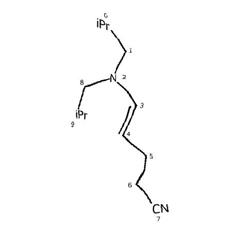 CC(C)CN(C=CCCC#N)CC(C)C